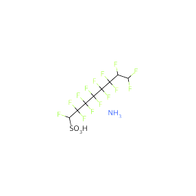 N.O=S(=O)(O)C(F)C(F)(F)C(F)(F)C(F)(F)C(F)(F)C(F)(F)C(F)C(F)F